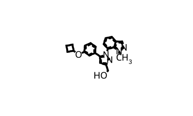 Cn1ncc2cccc(-n3nc(CO)cc3-c3cccc(OC4CCC4)c3)c21